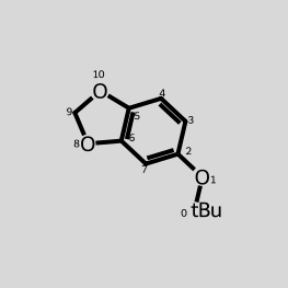 CC(C)(C)Oc1ccc2c(c1)OCO2